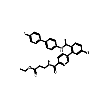 CCOC(=O)CCNC(=O)c1ccc(-c2cc(Cl)ccc2C(C)Nc2ccc(-c3ccc(F)cc3)cc2)cn1